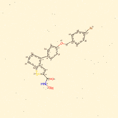 O=C(NO)c1cc2c(-c3ccc(OCc4ccc(Br)cc4)cc3)cccc2s1